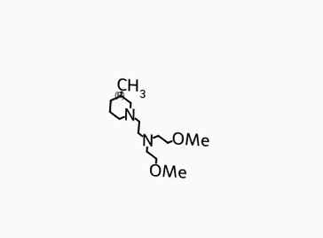 COCCN(CCOC)CCN1CCC[C@@H](C)C1